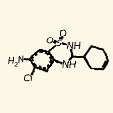 Nc1cc2c(cc1Cl)NC(C1CC=CCC1)NS2(=O)=O